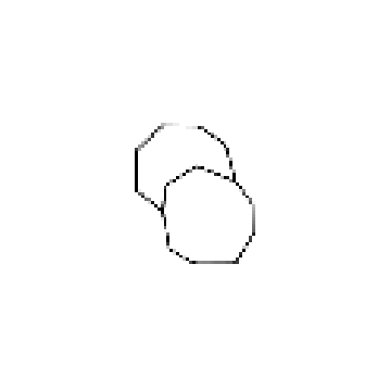 C1CCC2CCCCCC(CC1)CC2